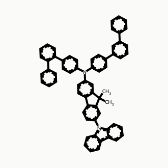 CC1(C)c2cc(N(c3ccc(-c4cccc(-c5ccccc5)c4)cc3)c3ccc(-c4ccccc4-c4ccccc4)cc3)ccc2-c2ccc(-n3c4ccccc4c4ccccc43)cc21